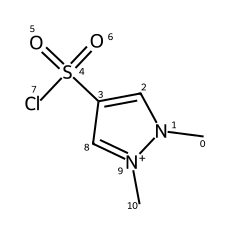 Cn1cc(S(=O)(=O)Cl)c[n+]1C